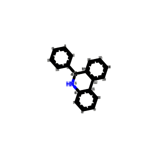 c1ccc(B2Nc3ccccc3-c3ccccc32)cc1